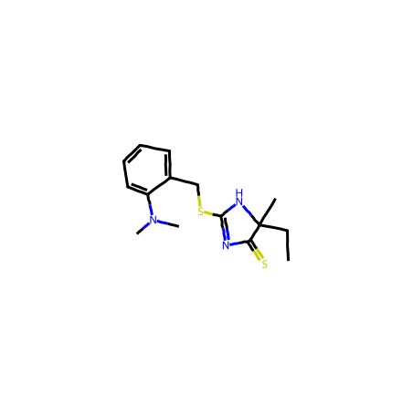 CCC1(C)NC(SCc2ccccc2N(C)C)=NC1=S